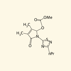 CCCc1nsc(N2C(=O)C(C)=C(C)C2OC(=O)OC)n1